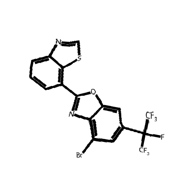 FC(F)(F)C(F)(c1cc(Br)c2nc(-c3cccc4ncsc34)oc2c1)C(F)(F)F